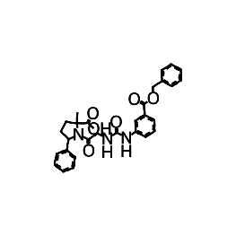 CC1(C(=O)O)CCC(c2ccccc2)N1C(=O)CNC(=O)Nc1cccc(C(=O)OCc2ccccc2)c1